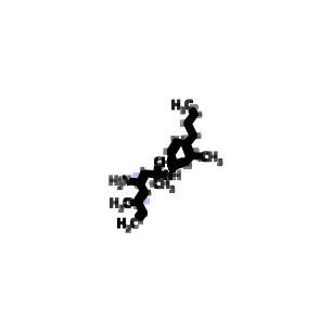 C=C/C(C)=C/C(N)=C\C(C)(C)Nc1ccc(CCCC)c(C)c1